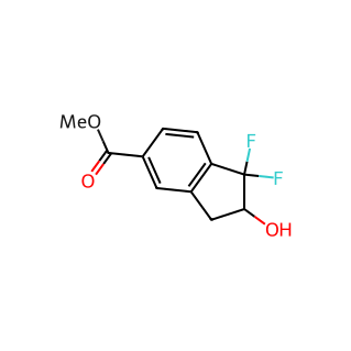 COC(=O)c1ccc2c(c1)CC(O)C2(F)F